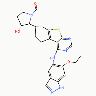 CCOc1cc2[nH]ncc2cc1Nc1ncnc2sc3c(c12)CCC(C1[C@H](O)CCN1C=O)C3